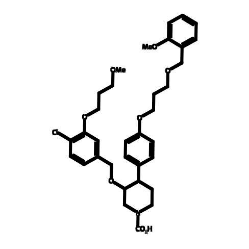 COCCCOc1cc(COC2CN(C(=O)O)CCC2c2ccc(OCCCOCc3ccccc3OC)cc2)ccc1Cl